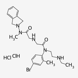 CCNCCN(C(=O)CNCC(=O)N(C)N1Cc2ccccc2C1)c1ccc(Br)cc1C.Cl.Cl